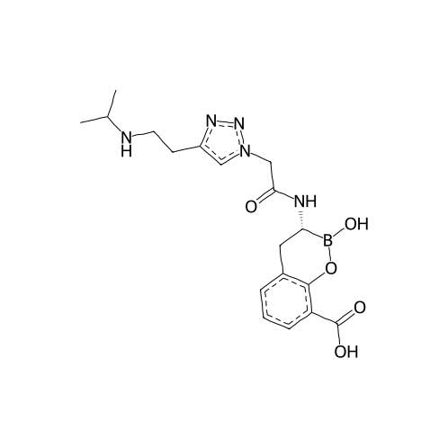 CC(C)NCCc1cn(CC(=O)N[C@H]2Cc3cccc(C(=O)O)c3OB2O)nn1